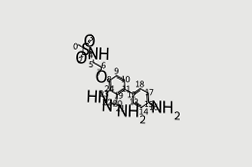 CS(=O)(=O)NCCOc1ccc(-c2ccc(N)cc2)c2c(N)n[nH]c12